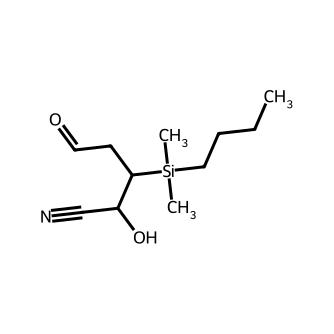 CCCC[Si](C)(C)C(CC=O)C(O)C#N